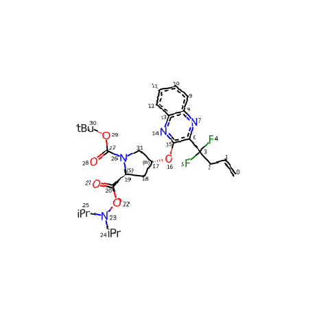 C=CCC(F)(F)c1nc2ccccc2nc1O[C@@H]1C[C@@H](C(=O)ON(C(C)C)C(C)C)N(C(=O)OC(C)(C)C)C1